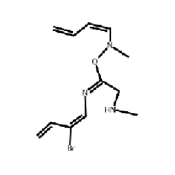 C=C/C=C\N(C)O/C(CNC)=N/C=C(/Br)C=C